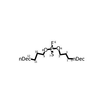 CCCCCCCCCCCCCOP(F)(=S)OCCCCCCCCCCCCC